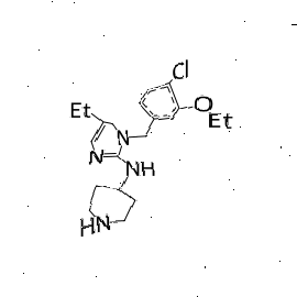 CCOc1cc(CN2CC(CC)=CN=C2NC2CCNCC2)ccc1Cl